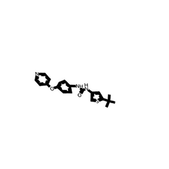 CC(C)(C)c1cc(NC(=O)Nc2ccc(Oc3ccncc3)cc2)cs1